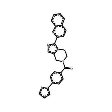 O=C(c1ccc(-c2cccs2)cc1)N1CCn2c(nnc2-c2ccc3ccccc3n2)C1